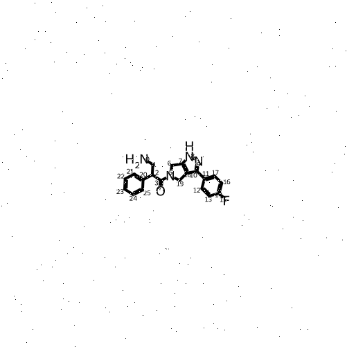 NCC(C(=O)N1Cc2[nH]nc(-c3ccc(F)cc3)c2C1)c1ccccc1